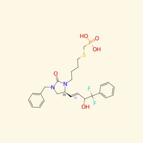 O=C1N(Cc2ccccc2)C[C@H](/C=C/C(O)C(F)(F)c2ccccc2)N1CCCCSCP(=O)(O)O